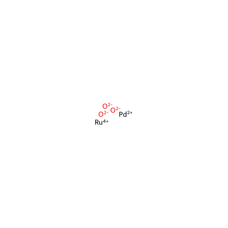 [O-2].[O-2].[O-2].[Pd+2].[Ru+4]